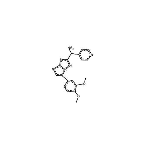 COc1ccc(-c2cnc3sc(C(N)c4ccncc4)nn23)cc1OC